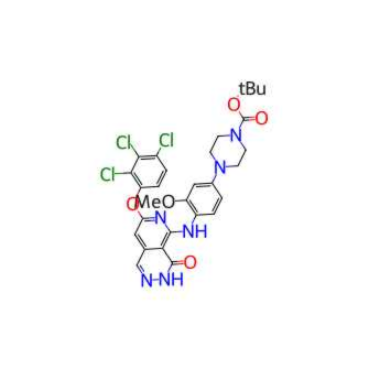 COc1cc(N2CCN(C(=O)OC(C)(C)C)CC2)ccc1Nc1nc(Oc2ccc(Cl)c(Cl)c2Cl)cc2cn[nH]c(=O)c12